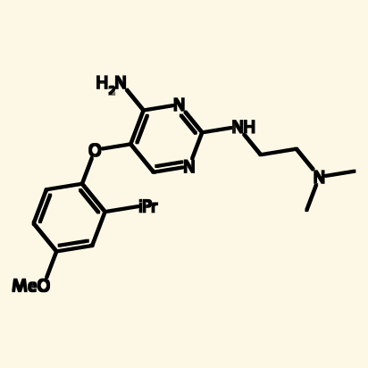 COc1ccc(Oc2cnc(NCCN(C)C)nc2N)c(C(C)C)c1